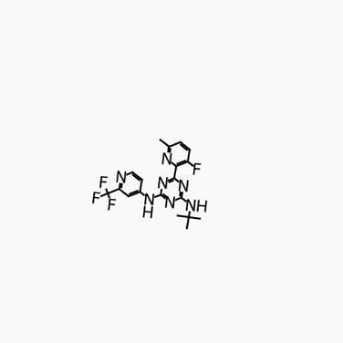 Cc1ccc(F)c(-c2nc(Nc3ccnc(C(F)(F)F)c3)nc(NC(C)(C)C)n2)n1